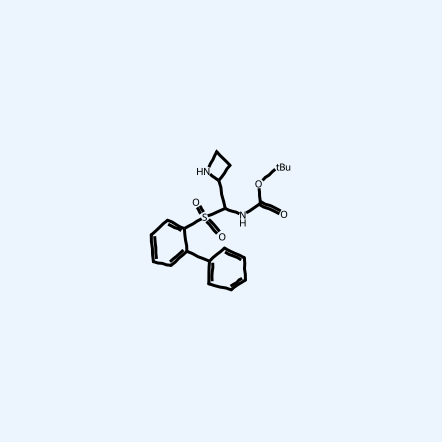 CC(C)(C)OC(=O)NC(C1CCN1)S(=O)(=O)c1ccccc1-c1ccccc1